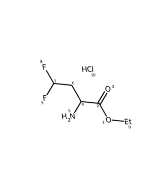 CCOC(=O)C(N)CC(F)F.Cl